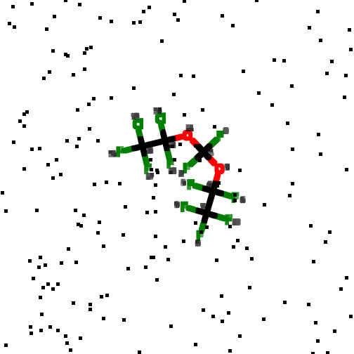 FC(F)(OC(F)(F)C(F)(F)F)OC(F)(Cl)C(F)(F)Cl